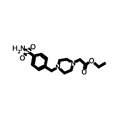 CCOC(=O)CN1CCN(Cc2ccc(S(N)(=O)=O)cc2)CC1